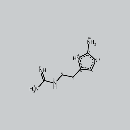 N=C(N)NCCc1cnc(N)[nH]1